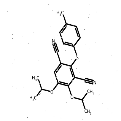 Cc1ccc(Sc2c(C#N)cc(OC(C)C)c(OC(C)C)c2C#N)cc1